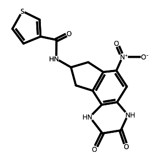 O=C(NC1Cc2c([N+](=O)[O-])cc3[nH]c(=O)c(=O)[nH]c3c2C1)c1ccsc1